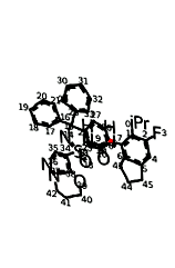 CC(C)c1c(F)cc2c(c1NC(=O)N[S@@](=O)(=NC(c1ccccc1)(c1ccccc1)c1ccccc1)c1cnn3c1OCCC3)CCC2